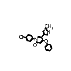 Cn1cc(-c2cn(-c3ccc(Cl)cc3)c(=O)cc2Oc2ccccc2)cn1